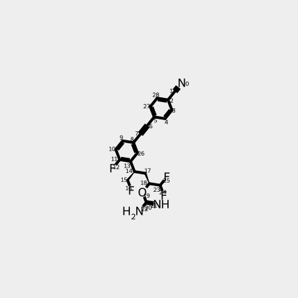 N#Cc1ccc(C#Cc2ccc(F)c([C@H](CF)C[C@H](OC(=N)N)C(F)F)c2)cc1